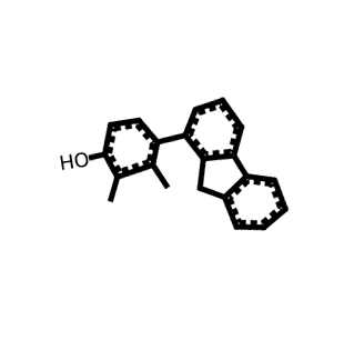 Cc1c(O)ccc(-c2cccc3c2Cc2ccccc2-3)c1C